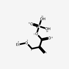 C=C(COCC)C(=O)OP(=O)(O)O